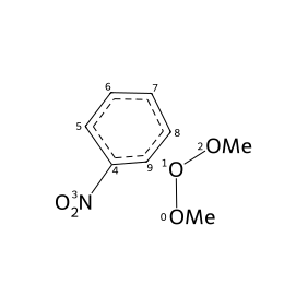 COOOC.O=[N+]([O-])c1ccccc1